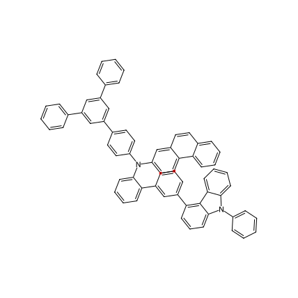 c1ccc(-c2cc(-c3ccccc3)cc(-c3ccc(N(c4ccc5c(ccc6ccccc65)c4)c4ccccc4-c4cccc(-c5cccc6c5c5ccccc5n6-c5ccccc5)c4)cc3)c2)cc1